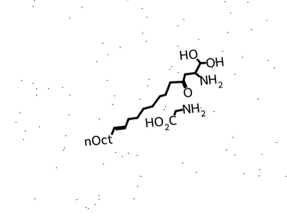 CCCCCCCCC=CCCCCCCCC(=O)CC(N)C(O)O.NCC(=O)O